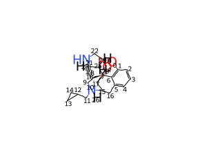 Oc1cccc2c1[C@]13CCN(CC4CC4)[C@H](C2)[C@]12CC[C@H]1NC[C@@H](O2)[C@H]13